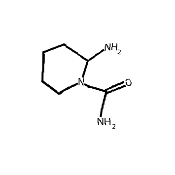 NC(=O)N1CCCCC1N